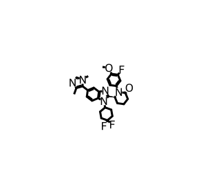 COc1ccc(N2C(=O)CCC[C@H]2c2nc3cc(-c4c(C)ncn4C)ccc3n2C2CCC(F)(F)CC2)cc1F